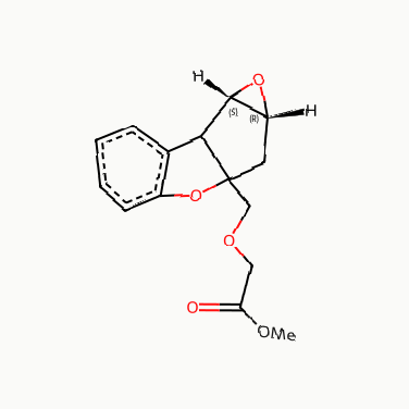 COC(=O)COCC12C[C@H]3O[C@H]3C1c1ccccc1O2